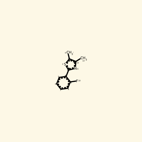 [CH2]c1sc(-c2ccccc2F)nc1C